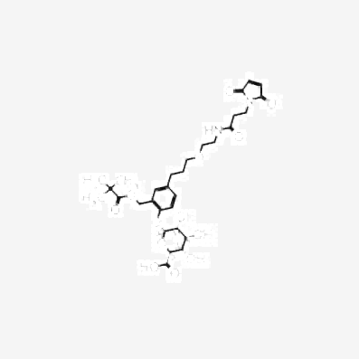 CC(C)(C)C(=O)OCc1cc(CCCOCCNC(=O)CCN2C(=O)C=CC2=O)ccc1O[C@@H]1O[C@H](C(=O)O)[C@@H](O)[C@H](O)[C@H]1O